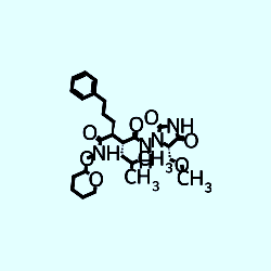 COC[C@H]1C(=O)NC(=O)N1NC(=O)[C@H](CC(C)C)[C@H](CCCc1ccccc1)C(=O)NOC1CCCCO1